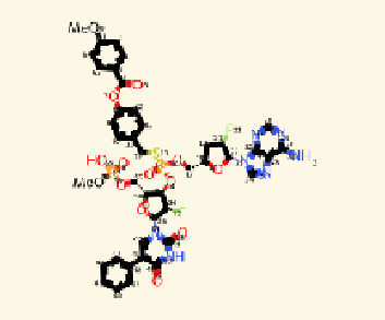 COc1ccc(C(=O)Oc2ccc(CSP(=O)(OC[C@@H]3C[C@@H](F)[C@H](n4cnc5c(N)ncnc54)O3)O[C@H]3[C@@H](F)[C@H](n4cc(-c5ccccc5)c(=O)[nH]c4=O)O[C@@H]3COP(=O)(O)OC)cc2)cc1